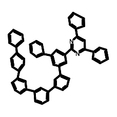 c1ccc(-c2ccc(-c3cccc(-c4cccc(-c5cccc(-c6cc(-c7ccccc7)cc(-c7nc(-c8ccccc8)cc(-c8ccccc8)n7)c6)c5)c4)c3)cc2)cc1